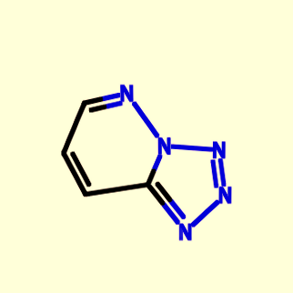 c1cnn2nnnc2c1